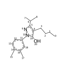 CCCCc1c(C(C)C)nn(-c2ccc(C)c(C)c2)c1O